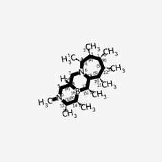 C[C@H]1[C@@H](C)[C@@H](C)N2C[C@H]3CN(C)[C@@H](C)[C@@H](C)B3[C@@H](C)C2[C@@H](C)[C@H]1C